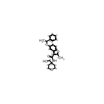 Cc1oc2ccc(OC(C)c3ccccc3)cc2c1C(=O)NC1(CO)CCOCC1